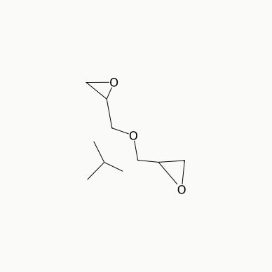 C(OCC1CO1)C1CO1.CC(C)C